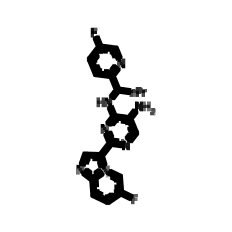 CCCC(Nc1nc(-c2cnc3ccc(F)cn23)ncc1N)c1ccc(F)cn1